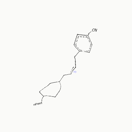 CCCCCC1CCC(C/C=C\Cc2ccc(C#N)cc2)CC1